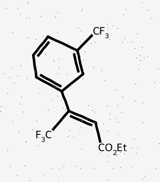 CCOC(=O)C=C(c1cccc(C(F)(F)F)c1)C(F)(F)F